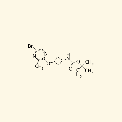 Cc1nc(Br)cnc1OC1CC(NC(=O)OC(C)(C)C)C1